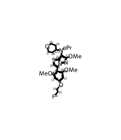 CCCN(c1c(OC)nn2c(-c3c(OC)cc(OCCF)cc3OC)csc12)C1CCOCC1